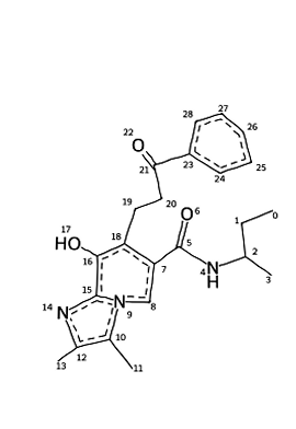 CCC(C)NC(=O)c1cn2c(C)c(C)nc2c(O)c1CCC(=O)c1ccccc1